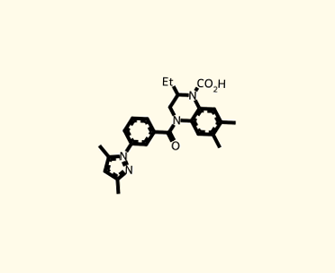 CCC1CN(C(=O)c2cccc(-n3nc(C)cc3C)c2)c2cc(C)c(C)cc2N1C(=O)O